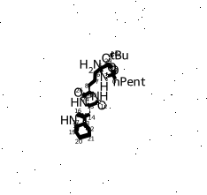 CCCCCC(=O)NC(N)(CCC[C@H]1NC(=O)[C@H](Cc2c[nH]c3ccccc23)NC1=O)C(=O)OC(C)(C)C